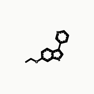 CCOc1ccc2c(-c3cccnc3)csc2c1